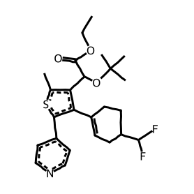 CCOC(=O)C(OC(C)(C)C)c1c(C)sc(-c2ccncc2)c1C1=CCC(C(F)F)CC1